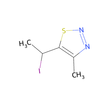 Cc1nnsc1C(C)I